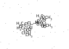 CCN(C(=O)OC)[C@H]1C[C@H](C)S(=O)(=O)c2sc(S(=O)(=O)/N=C/CCC(Cl)C(Cl)CC(C(Cl)CC(Cl)C(C)Cl)C(C(C)Cl)C(Cl)C(C)Cl)cc21